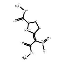 COC(=O)C(=C1CC[C@H](C(=O)OC)N1)[N+](=O)[O-]